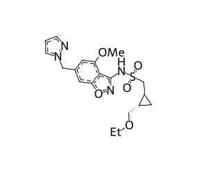 CCOC[C@H]1CC1CS(=O)(=O)Nc1noc2cc(Cn3cccn3)cc(OC)c12